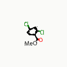 COC(=O)c1ccc(Cl)[c]c1Cl